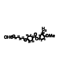 COc1ccc(OC(=O)c2ccc(OCCCCOC=O)cc2)cc1C